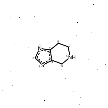 c1nc2c(s1)CNCC2